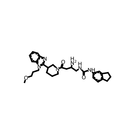 COCCCn1c(C2CCCN(C(=O)CC(N)CNC(=O)Nc3ccc4c(c3)CCC4)C2)nc2ccccc21